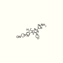 Cc1c(-c2ccc(N3CCC(N=O)CC3)nc2)sc2c(N3CCOCC3)nc(-c3cnc(N)nc3)nc12